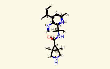 C=Nc1c(/C(C)=C\C)cc(C)nc1C(C)(C)NC(=O)[C@H]1[C@@H]2CNC[C@@H]21